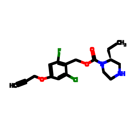 C#CCOc1cc(F)c(COC(=O)N2CCNC[C@H]2CC)c(Cl)c1